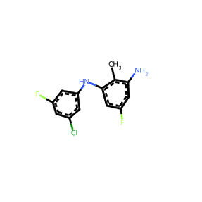 Cc1c(N)cc(F)cc1Nc1cc(F)cc(Cl)c1